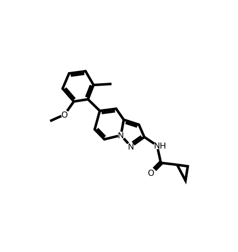 COc1cccc(C)c1-c1ccn2nc(NC(=O)C3CC3)cc2c1